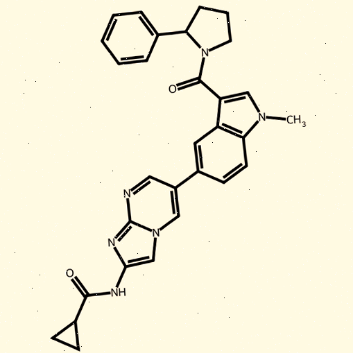 Cn1cc(C(=O)N2CCCC2c2ccccc2)c2cc(-c3cnc4nc(NC(=O)C5CC5)cn4c3)ccc21